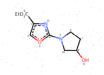 CCOC(=O)c1coc(N2CCC(O)C2)n1